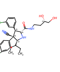 CCC(CC)[C@@H]1N[C@@H](C(=O)NCC[C@H](O)CO)[C@H](c2cccc(Cl)c2)[C@@]1(C#N)c1ccc(Cl)cc1